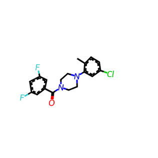 Cc1ccc(Cl)cc1N1CCN(C(=O)c2cc(F)cc(F)c2)CC1